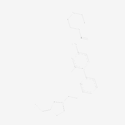 NCC1CCN(CCc2cccc(-n3ccc(NC(=O)N4CCNCC4)nc3=O)c2)C1